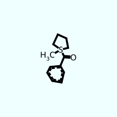 CS1(C(=O)c2ccccc2)CCCC1